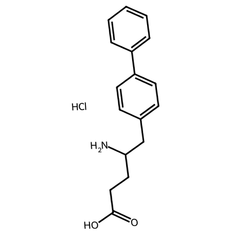 Cl.NC(CCC(=O)O)Cc1ccc(-c2ccccc2)cc1